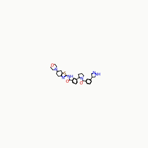 O=C(Nc1nc2c(s1)C[C@@H](N1CCOCC1)CC2)c1cccc([C@H]2CCCN2C(=O)c2cccc(C3C=NNC3)c2)c1